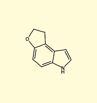 c1cc2c3c(ccc2[nH]1)OCC3